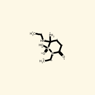 CCNC1(P)CCC(=O)N(CC)P1(=O)O